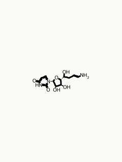 NC=CCC(O)[C@H]1O[C@@H](n2ccc(=O)[nH]c2=O)[C@H](O)[C@@H]1O